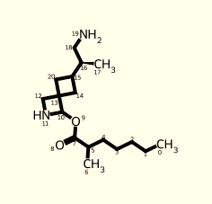 CCCCCC(C)C(=O)OC1NCC12CC([C@H](C)CN)C2